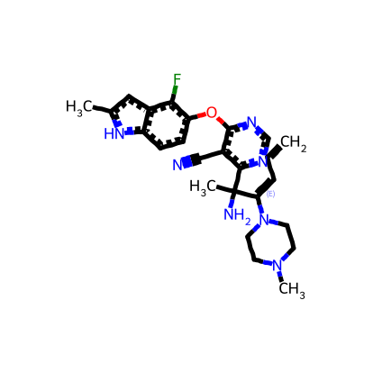 C=C/C=C(/N1CCN(C)CC1)C(C)(N)c1ncnc(Oc2ccc3[nH]c(C)cc3c2F)c1C#N